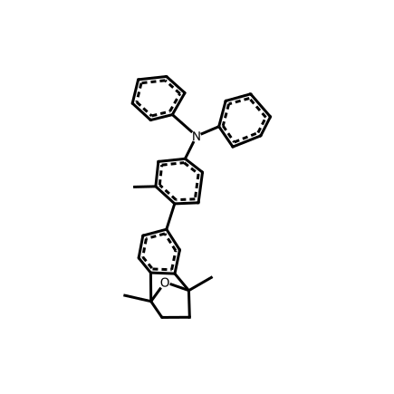 Cc1cc(N(c2ccccc2)c2ccccc2)ccc1-c1ccc2c(c1)C1(C)CCC2(C)O1